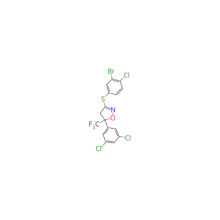 FC(F)(F)C1(c2cc(Cl)cc(Cl)c2)CC(Sc2ccc(Cl)c(Br)c2)=NO1